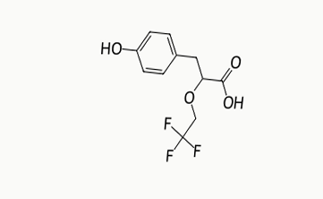 O=C(O)C(Cc1ccc(O)cc1)OCC(F)(F)F